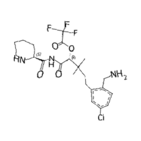 CC(C)(CCc1cc(Cl)ccc1CN)[C@@H](OC(=O)C(F)(F)F)C(=O)NC(=O)[C@@H]1CCCCN1